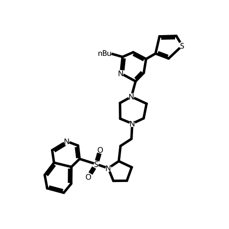 CCCCc1cc(-c2ccsc2)cc(N2CCN(CCC3CCCN3S(=O)(=O)c3cncc4ccccc34)CC2)n1